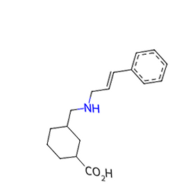 O=C(O)C1CCCC(CNCC=Cc2ccccc2)C1